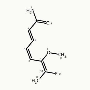 COC(/C=C\C=C\C(N)=O)=C(/C)F